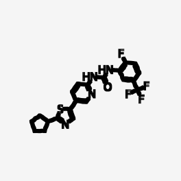 O=C(Nc1ccc(-c2cnc([C]3CCCC3)s2)cn1)Nc1cc(C(F)(F)F)ccc1F